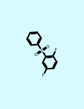 O=S(=O)(c1ccccc1)c1cc(F)ccc1F